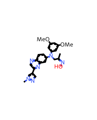 COc1cc(OC)cc(N(C/C(C)=N\O)c2ccc3ncc(-c4cnn(C)c4)nc3c2)c1